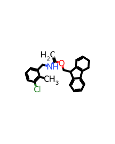 C=C(NCc1cccc(Cl)c1C)OCC1C2=C(CCC=C2)c2ccccc21